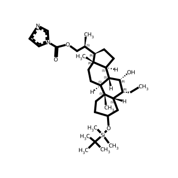 CC[C@H]1[C@@H](O)[C@@H]2[C@H](CC[C@]3(C)[C@@H]([C@H](C)COC(=O)n4ccnc4)CC[C@@H]23)[C@@]2(C)CCC(O[Si](C)(C)C(C)(C)C)C[C@@H]12